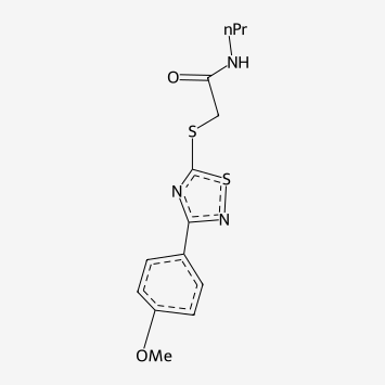 CCCNC(=O)CSc1nc(-c2ccc(OC)cc2)ns1